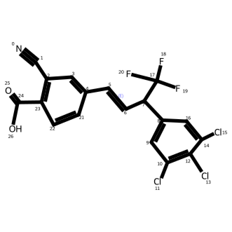 N#Cc1cc(/C=C/C(c2cc(Cl)c(Cl)c(Cl)c2)C(F)(F)F)ccc1C(=O)O